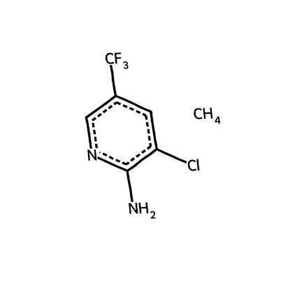 C.Nc1ncc(C(F)(F)F)cc1Cl